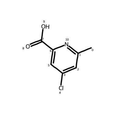 Cc1cc(Cl)cc(C(=O)O)n1